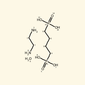 NCCN.O.O=P(O)(O)CCCCP(=O)(O)O